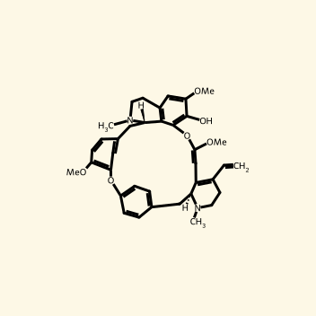 C=CC1=C2/C=C(\OC)Oc3c(O)c(OC)cc4c3[C@H](Cc3ccc(OC)c(c3)Oc3ccc(cc3)C[C@@H]2N(C)CC1)N(C)CC4